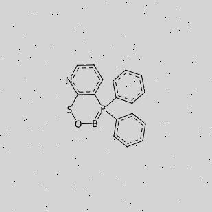 B1=P(c2ccccc2)(c2ccccc2)c2cccnc2SO1